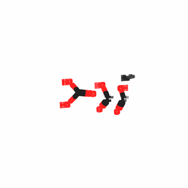 O=C(O)O.O=[C-]O.O=[C-]O.[Ba+2]